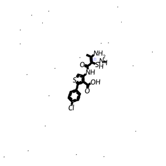 C/C(N)=C(/SNI)C(=O)Nc1csc(-c2ccc(Cl)cc2)c1C(=O)O